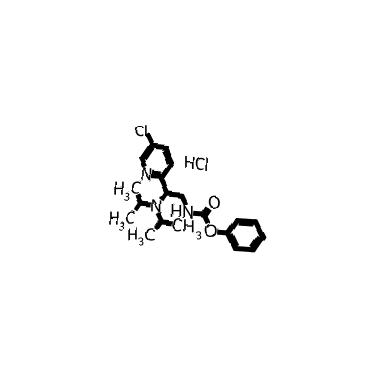 CC(C)N(C(C)C)C(CNC(=O)Oc1ccccc1)c1ccc(Cl)cn1.Cl